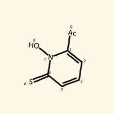 CC(=O)c1cccc(=S)n1O